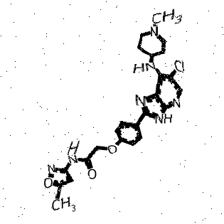 Cc1cc(NC(=O)COc2ccc(-c3nc4c(NC5CCN(C)CC5)c(Cl)cnc4[nH]3)cc2)no1